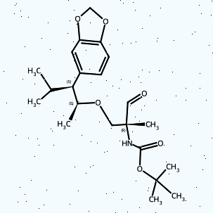 CC(C)[C@@H](c1ccc2c(c1)OCO2)[C@H](C)OC[C@](C)(C=O)NC(=O)OC(C)(C)C